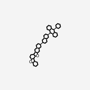 c1ccc(-c2c3ccccc3c(-c3ccc4cc(-c5ccc6cc7c(cc6c5)oc5c7ccc6oc7ccccc7c65)ccc4c3)c3ccccc23)cc1